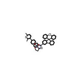 Cc1ccc(-c2ccc(C3=C/CC/C(c4ccccc4)=N/C(c4ccc5c(c4)-c4ccccc4C54c5ccccc5Oc5ccccc54)=C\3)cc2)c(C)n1